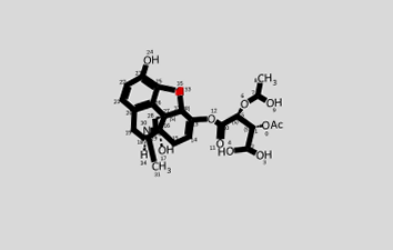 CC(=O)O[C@H](C(O)O)[C@H](OC(C)O)C(=O)OC1=CC[C@@]2(O)[C@H]3Cc4ccc(O)c5c4[C@@]2(CCN3C)[C@H]1O5